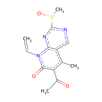 C=Cn1c(=O)c(C(C)=O)c(C)c2cnc([S+](C)[O-])nc21